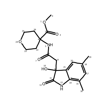 COC(=O)C1(NC(=O)CC2(O)C(=O)Nc3c(C)cc(C)cc32)CCOCC1